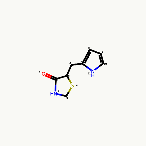 O=C1NCSC1Cc1ccc[nH]1